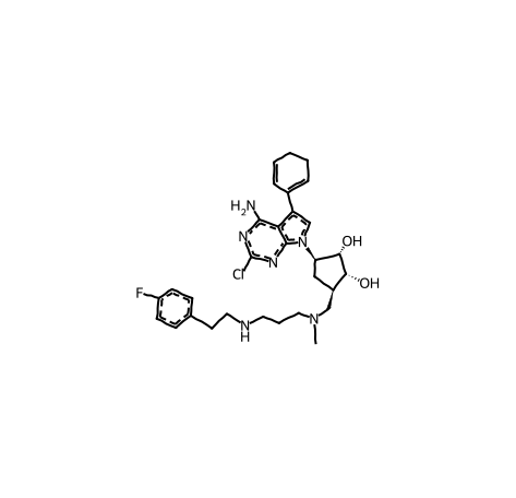 CN(CCCNCCc1ccc(F)cc1)C[C@H]1C[C@@H](n2cc(C3=CCCC=C3)c3c(N)nc(Cl)nc32)[C@H](O)[C@@H]1O